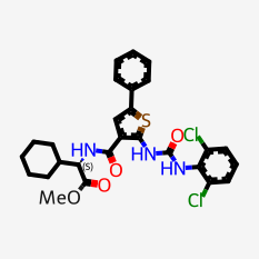 COC(=O)[C@@H](NC(=O)c1cc(-c2ccccc2)sc1NC(=O)Nc1c(Cl)cccc1Cl)C1CCCCC1